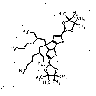 CCCCC(CC)CC1(CC(CC)CCCC)c2cc(B3OC(C)(C)C(C)(C)O3)sc2-c2sc(B3OC(C)(C)C(C)(C)O3)cc21